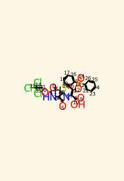 O=C(N[C@@H]1C(=O)N2C(C(=O)O)=C(OP(=O)(c3ccccc3)c3ccccc3)CS[C@@H]12)OCC(Cl)(Cl)Cl